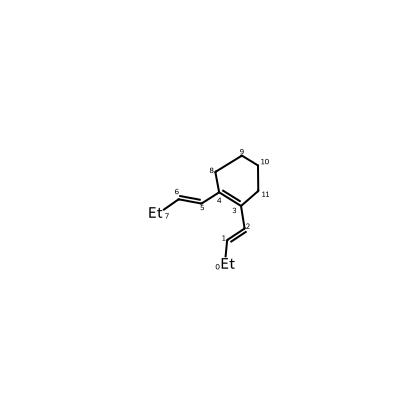 CC/C=C/C1=C(/C=C/CC)CCCC1